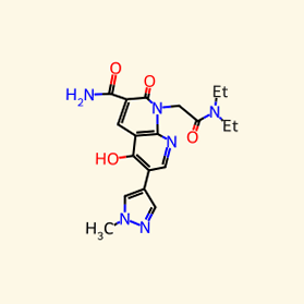 CCN(CC)C(=O)Cn1c(=O)c(C(N)=O)cc2c(O)c(-c3cnn(C)c3)cnc21